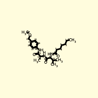 CCCCCCC(=O)N[C@H](C(=O)N[C@@H](C)C(=O)Nc1ccc(COC)cc1)C(C)C